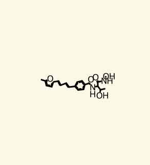 Cc1ccc(/C=C/C=C/c2ccc(C(=O)NC(C(=O)NO)C(C)O)cc2)o1